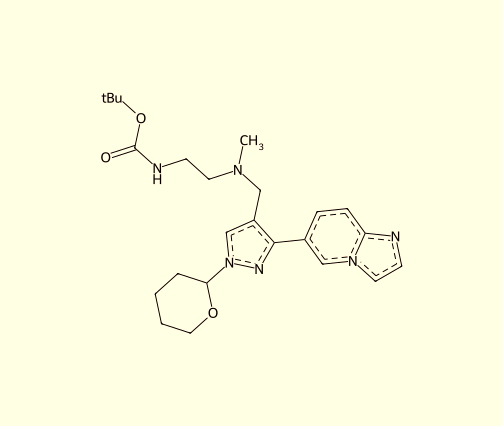 CN(CCNC(=O)OC(C)(C)C)Cc1cn(C2CCCCO2)nc1-c1ccc2nccn2c1